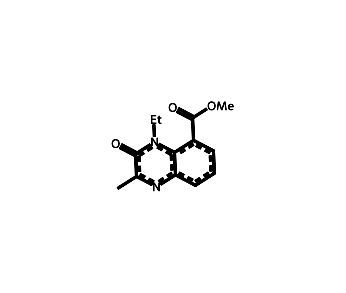 CCn1c(=O)c(C)nc2cccc(C(=O)OC)c21